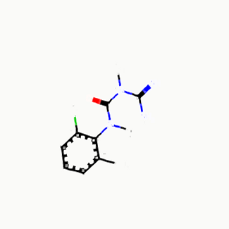 CCCN(C(=O)N(C)C(=N)N)c1c(C)cccc1Cl